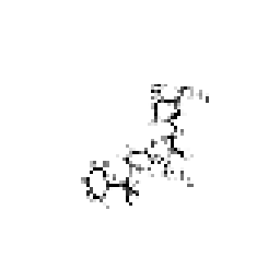 Cc1cc(CNC(=O)N(C)[C@@H]2CCCN(C(=O)C3CCCOC3)C2)ccc1Cl